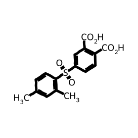 Cc1ccc(S(=O)(=O)c2ccc(C(=O)O)c(C(=O)O)c2)c(C)c1